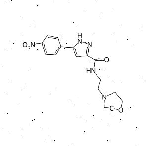 O=C(NCCN1CCOCC1)c1cc(-c2ccc([N+](=O)[O-])cc2)[nH]n1